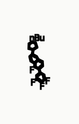 CCCCC1CCC(c2ccc3c(F)c(-c4cc(F)c(F)c(F)c4)ccc3c2)CC1